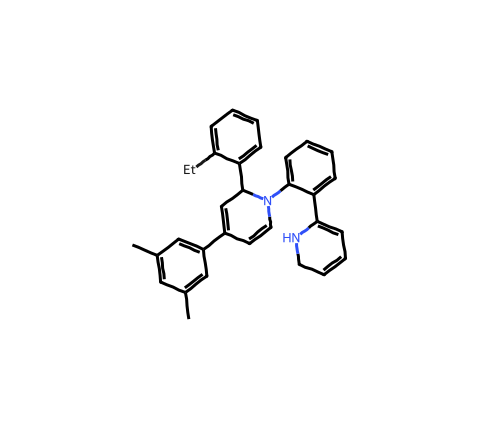 CCc1ccccc1C1C=C(c2cc(C)cc(C)c2)C=CN1c1ccccc1C1=CC=CCN1